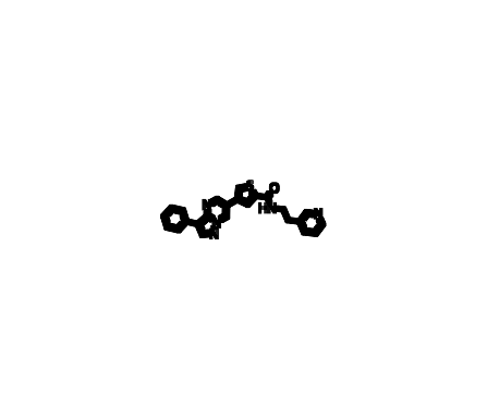 O=C(NCCc1cccnc1)c1cc(-c2cnc3c(-c4ccccc4)cnn3c2)cs1